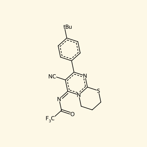 CC(C)(C)c1ccc(-c2nc3n(/c(=N\C(=O)C(F)(F)F)c2C#N)CCCS3)cc1